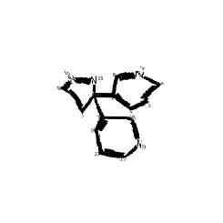 C1=CC(c2cccnc2)(c2cccnc2)N=N1